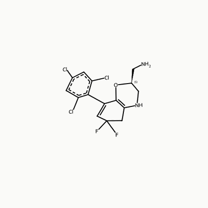 NC[C@H]1CNC2=C(O1)C(c1c(Cl)cc(Cl)cc1Cl)=CC(F)(F)C2